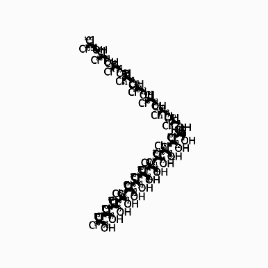 CO.OCC(Cl)Cl.OCC(Cl)Cl.OCC(Cl)Cl.OCC(Cl)Cl.OCC(Cl)Cl.OCC(Cl)Cl.OCC(Cl)Cl.OCC(Cl)Cl.OCC(Cl)Cl.OCC(Cl)Cl.OCC(Cl)Cl.OCC(Cl)Cl.OCC(Cl)Cl.OCC(Cl)Cl.OCC(Cl)Cl.OCC(Cl)Cl.OCC(Cl)Cl.OCC(Cl)Cl.OCC(Cl)Cl.OCC(Cl)Cl